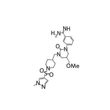 COCC1CN(CC2CCN(S(=O)(=O)c3cnn(C)c3)CC2)C(=O)N(c2cccc(C(=N)N)c2)C1